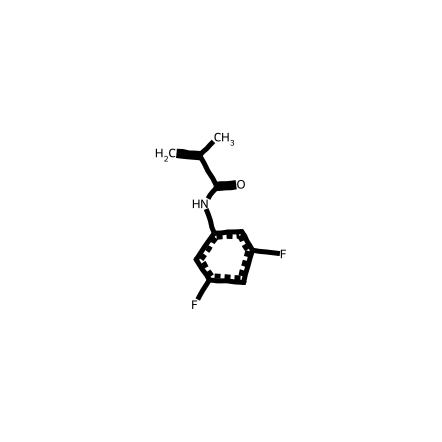 C=C(C)C(=O)Nc1cc(F)cc(F)c1